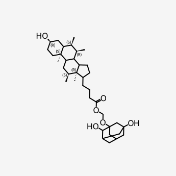 C[C@@H]1C2C[C@H](O)CC[C@]2(C)C2C[C@H](C)[C@]3(C)C(CCCC(=O)OCOC45CC6CC(CC(O)(C6)C4)C5O)CCC3C2[C@@H]1C